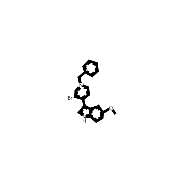 COc1ccc2[nH]cc(-c3cc[n+](Cc4ccccc4)cc3)c2c1.[Br-]